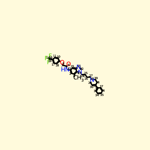 Cc1cc(NC(=O)COc2ccc(C(F)(F)F)cc2)cc2ncn(CCCCN3CC=C(c4ccccc4)CC3)c12